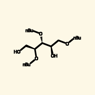 CCCCOC[C@@H](O)[C@@H](OCCCC)[C@H](CO)OCCCC